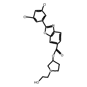 O=C(OC1CCN(CCO)C1)c1ccc2nc(-c3cc(Cl)cc(Cl)c3)oc2c1